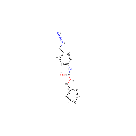 [N-]=[N+]=NCc1ccc(NC(=O)OCc2ccccc2)cc1